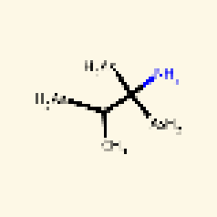 CC([AsH2])C(N)([AsH2])[AsH2]